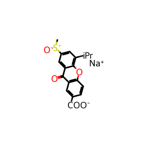 CC(C)c1cc([S+](C)[O-])cc2c(=O)c3cc(C(=O)[O-])ccc3oc12.[Na+]